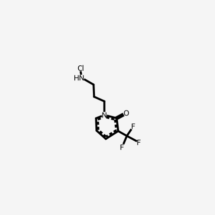 O=c1c(C(F)(F)F)cccn1CCCNCl